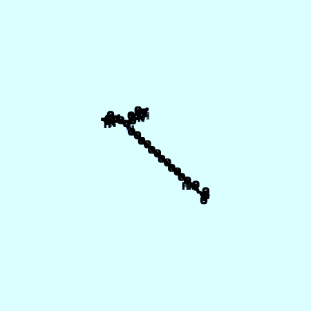 C=C1C[C@H]2C=Nc3cc(OCc4cc(/C=N/OCCOCCOCCOCCOCCOCCOCCOCCOCCOCCOCCOCCNC(=O)CCCCCN5C(=O)C=CC5=O)cc(COc5cc6c(cc5OC)C(=O)N5CC(=C)C[C@H]5C=N6)c4)c(C)cc3C(=O)N2C1